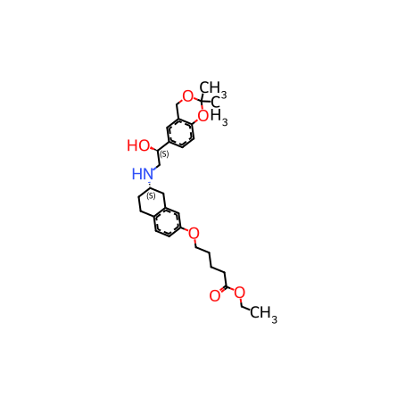 CCOC(=O)CCCCOc1ccc2c(c1)C[C@@H](NC[C@@H](O)c1ccc3c(c1)COC(C)(C)O3)CC2